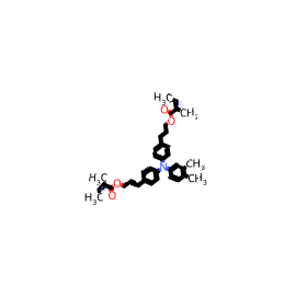 C/C=C(/C)C(=O)OCCCc1ccc(N(c2ccc(CCCOC(=O)/C(C)=C\C)cc2)c2ccc(C)c(C)c2)cc1